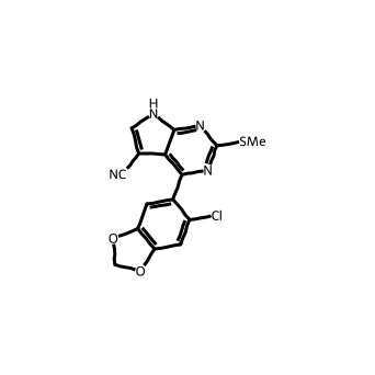 CSc1nc(-c2cc3c(cc2Cl)OCO3)c2c(C#N)c[nH]c2n1